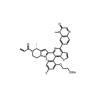 C=CC(=O)N1CCn2nc(-c3nc(-c4ccc5ncc(=O)n(C)c5c4)c4ccsc4c3-c3c(F)cc(F)cc3OCCOC)cc2[C@H]1C